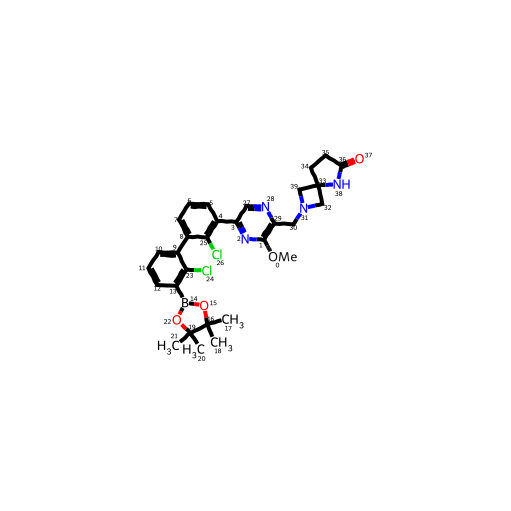 COc1nc(-c2cccc(-c3cccc(B4OC(C)(C)C(C)(C)O4)c3Cl)c2Cl)cnc1CN1CC2(CCC(=O)N2)C1